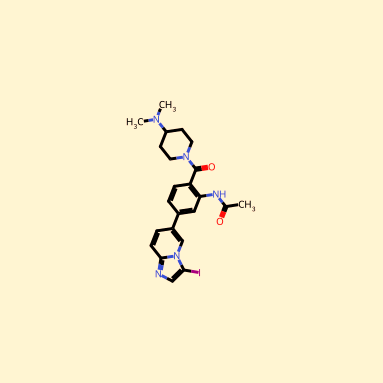 CC(=O)Nc1cc(-c2ccc3ncc(I)n3c2)ccc1C(=O)N1CCC(N(C)C)CC1